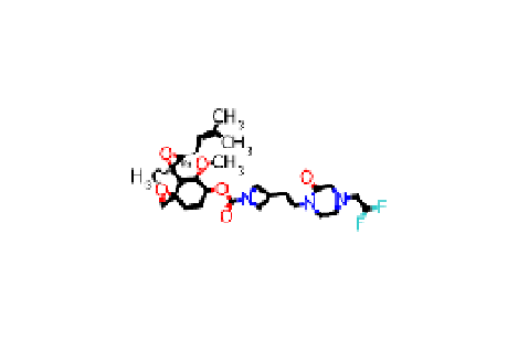 COC1C(OC(=O)N2CC(CCN3CCN(CC(F)F)CC3=O)C2)CCC2(CO2)C1[C@@]1(C)O[C@@H]1CC=C(C)C